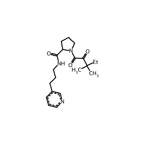 CCC(C)(C)C(=O)C(=O)N1CCCC1C(=O)NCCCc1cccnc1